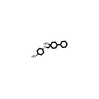 CCCC1(CO[C@H]2CC[C@H](CCC)CC2)CCC(C2CCCCC2)CC1